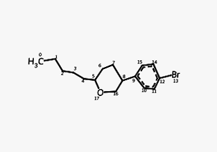 CCCCCC1CCC(c2ccc(Br)cc2)CO1